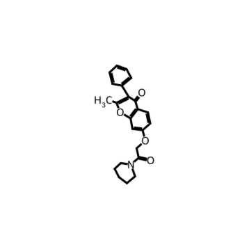 Cc1oc2cc(OCC(=O)N3CCCCC3)ccc2c(=O)c1-c1ccccc1